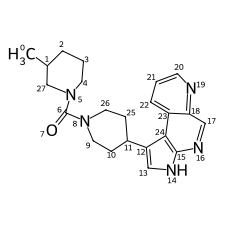 CC1CCCN(C(=O)N2CCC(c3c[nH]c4ncc5ncccc5c34)CC2)C1